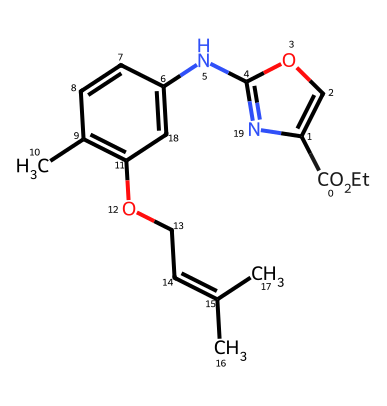 CCOC(=O)c1coc(Nc2ccc(C)c(OCC=C(C)C)c2)n1